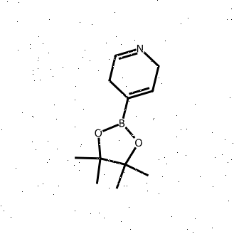 CC1(C)OB(C2=CCN=CC2)OC1(C)C